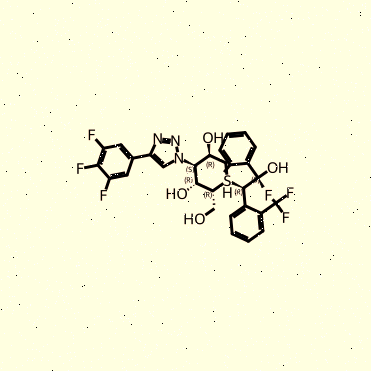 Cc1ccccc1[C@](C)(O)[C@@H](c1ccccc1C(F)(F)F)[SH]1C[C@H](O)[C@H](n2cc(-c3cc(F)c(F)c(F)c3)nn2)[C@@H](O)[C@H]1CO